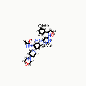 C=CC(=O)Nc1cc(Nc2cc(N3OCCC3c3cccc(OC)c3)ncn2)c(OC)cc1N1CCC(N2CCOCC2)CC1